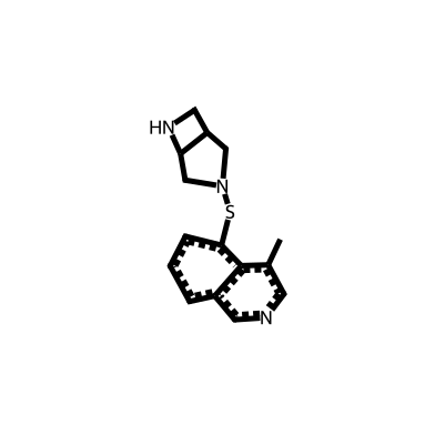 Cc1cncc2cccc(SN3CC4CNC4C3)c12